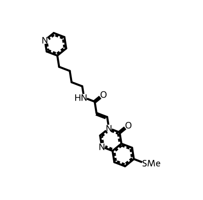 CSc1ccc2ncn(C=CC(=O)NCCCCc3cccnc3)c(=O)c2c1